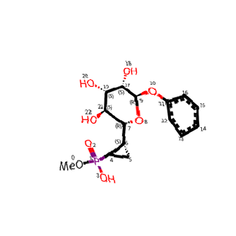 COP(=O)(O)C1C[C@H]1[C@H]1O[C@H](Oc2ccccc2)[C@@H](O)[C@@H](O)[C@@H]1O